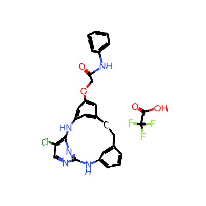 O=C(COc1cc2cc(c1)Nc1nc(ncc1Cl)Nc1cccc(c1)CC2)Nc1ccccc1.O=C(O)C(F)(F)F